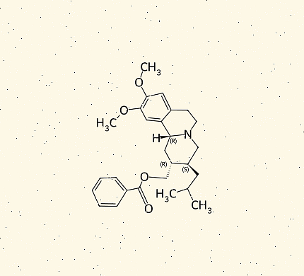 COc1cc2c(cc1OC)[C@H]1C[C@@H](COC(=O)c3ccccc3)[C@H](CC(C)C)CN1CC2